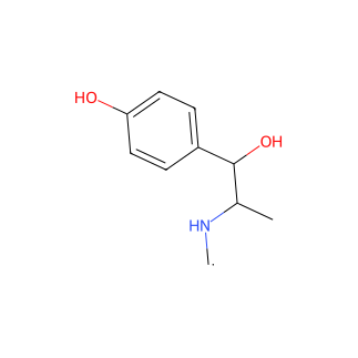 [CH2]NC(C)C(O)c1ccc(O)cc1